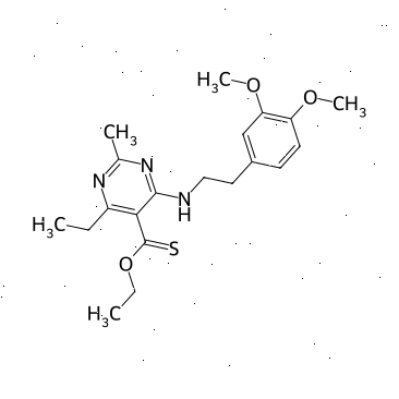 CCOC(=S)c1c(CC)nc(C)nc1NCCc1ccc(OC)c(OC)c1